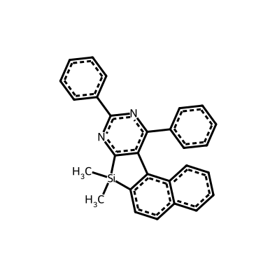 C[Si]1(C)c2ccc3ccccc3c2-c2c(-c3ccccc3)nc(-c3ccccc3)nc21